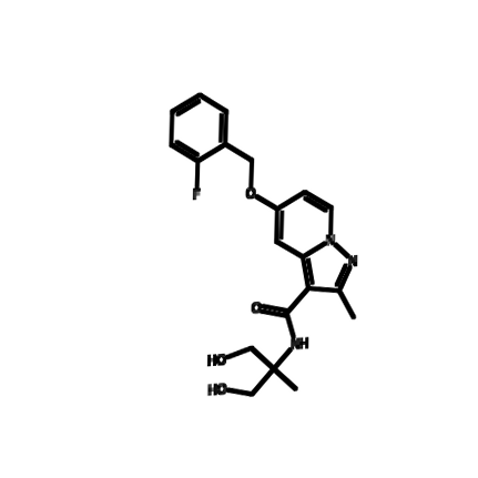 Cc1nn2ccc(OCc3ccccc3F)cc2c1C(=O)NC(C)(CO)CO